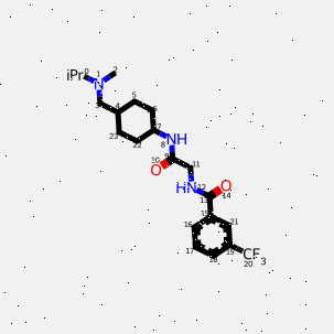 CC(C)N(C)CC1CCC(NC(=O)CNC(=O)c2cccc(C(F)(F)F)c2)CC1